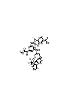 CCC[C@@H](CCO[Si](c1ccccc1)(c1ccccc1)C(C)(C)C)Nc1nc(NC(=O)OC)nc2cnn(Cc3cc(C(=O)O)cnc3OC)c12